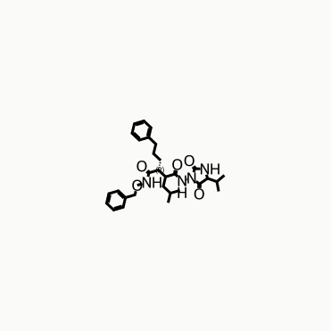 CC(C)CC(C(=O)NN1C(=O)NC(C(C)C)C1=O)[C@@H](CCCc1ccccc1)C(=O)NOCc1ccccc1